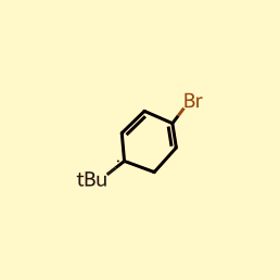 CC(C)(C)[C]1C=CC(Br)=CC1